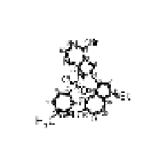 CCn1cc(-c2cc3c(Br)ncnc3n2S(=O)(=O)c2ccc(C)cc2)c2cc(OC)ccc21